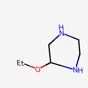 [CH2]COC1CNCCN1